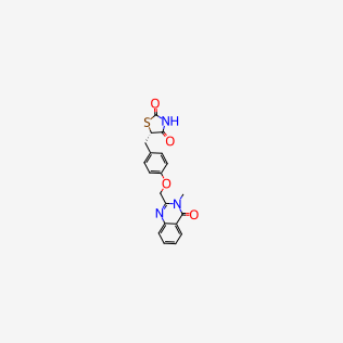 Cn1c(COc2ccc(C[C@@H]3SC(=O)NC3=O)cc2)nc2ccccc2c1=O